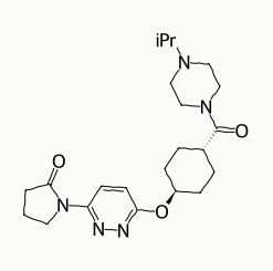 CC(C)N1CCN(C(=O)[C@H]2CC[C@H](Oc3ccc(N4CCCC4=O)nn3)CC2)CC1